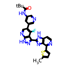 Cc1ccc(-c2nccc3[nH]c(-c4n[nH]c5ncc(-c6cncc(NC(=O)C(C)(C)C)c6)c(F)c45)nc23)s1